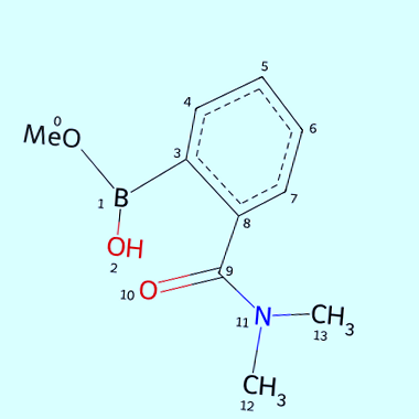 COB(O)c1ccccc1C(=O)N(C)C